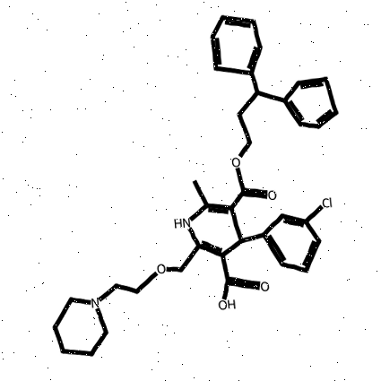 CC1=C(C(=O)OCCC(c2ccccc2)c2ccccc2)C(c2cccc(Cl)c2)C(C(=O)O)=C(COCCN2CCCCC2)N1